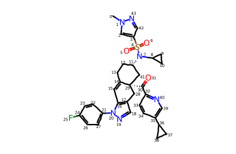 Cn1cc(S(=O)(=O)N(C2CC2)[C@H]2CCC3=Cc4c(cnn4-c4ccc(F)cc4)C[C@]3(C(=O)c3ccc(C4CC4)cn3)C2)cn1